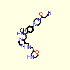 CN/C(=C\c1nccnc1CNC[C@@H]1CNCCO1)c1ccc(N2CCN(C(=O)CC#N)CC2)cc1